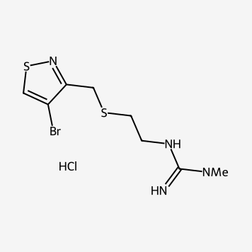 CNC(=N)NCCSCc1nscc1Br.Cl